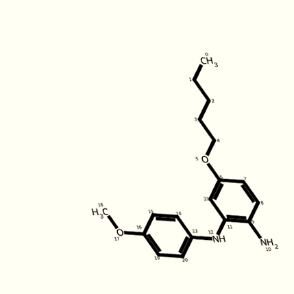 CCCCCOc1ccc(N)c(Nc2ccc(OC)cc2)c1